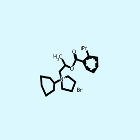 CC(C[N+]1(C2CCCCC2)CCCC1)OC(=O)c1ccccc1C(C)C.[Br-]